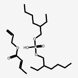 C=CCOC(=O)/C=C/C.CCCCC(CC)COP(=O)(O)OCC(CC)CCCC